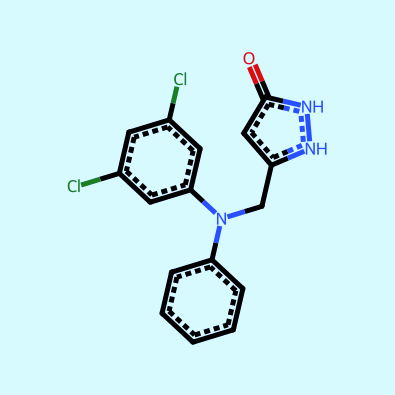 O=c1cc(CN(c2ccccc2)c2cc(Cl)cc(Cl)c2)[nH][nH]1